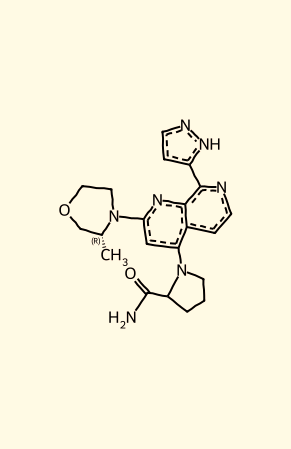 C[C@@H]1COCCN1c1cc(N2CCCC2C(N)=O)c2ccnc(-c3ccn[nH]3)c2n1